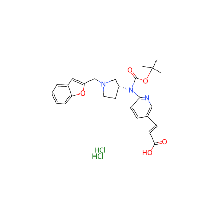 CC(C)(C)OC(=O)N(c1ccc(C=CC(=O)O)cn1)[C@@H]1CCN(Cc2cc3ccccc3o2)C1.Cl.Cl